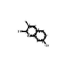 CCc1nc2cc(Br)ccc2cc1C